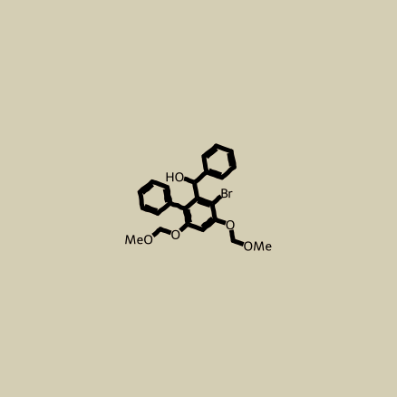 COCOc1cc(OCOC)c(-c2ccccc2)c(C(O)c2ccccc2)c1Br